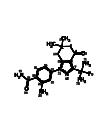 CC1(C)CC(=O)c2c(C(F)(P)P)nn(-c3ccc(C(N)=O)c(N)c3)c2C1